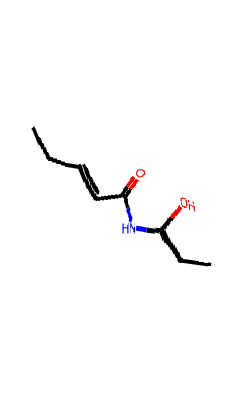 [CH2]CC(O)NC(=O)C=CCC